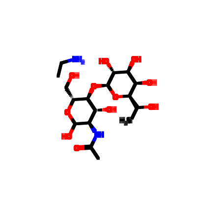 CC(=O)N[C@H]1C(O)O[C@H](CO)[C@@H](O[C@@H]2O[C@H](C(O)[SiH3])[C@H](O)[C@H](O)[C@H]2O)[C@@H]1O.CCN